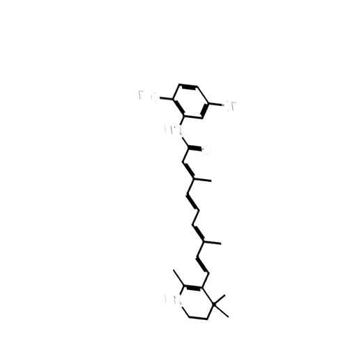 CC1=C(/C=C/C(C)=C/C=C/C(C)=C/C(=O)Nc2cc(C(F)(F)F)ccc2C(F)(F)F)C(C)(C)CCN1